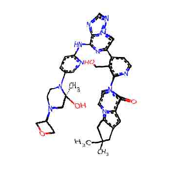 CC1(C)Cc2cc3c(=O)n(-c4nccc(-c5cn6ncnc6c(Nc6ccc(N7CCN(C8COC8)C[C@]7(C)O)cn6)n5)c4CO)ccn3c2C1